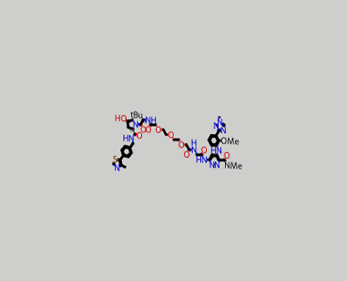 CNC(=O)c1nnc(NC(=O)CNC(=O)COCCOCCOCC(=O)N[C@H](C(=O)N2C[C@H](O)C[C@H]2C(=O)NCc2ccc(-c3scnc3C)cc2)C(C)(C)C)cc1Nc1cccc(-c2ncn(C)n2)c1OC